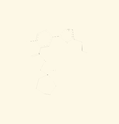 O=C(NCC1(O)CCCCCC1)c1cc(-c2ccn(CCO)n2)ccc1Cl